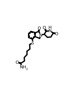 NC(=O)CCCCCCSc1cccc2c1CN(C1CCC(=O)NC1=O)C2=O